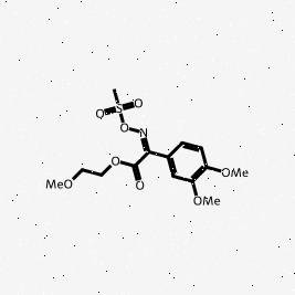 COCCOC(=O)/C(=N\OS(C)(=O)=O)c1ccc(OC)c(OC)c1